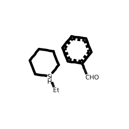 CC[SiH]1CCCCC1.O=Cc1ccccc1